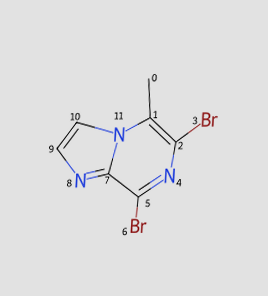 Cc1c(Br)nc(Br)c2nccn12